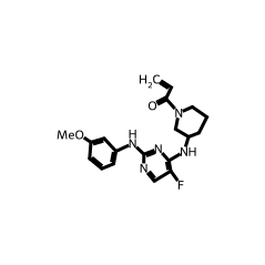 C=CC(=O)N1CCCC(Nc2nc(Nc3cccc(OC)c3)ncc2F)C1